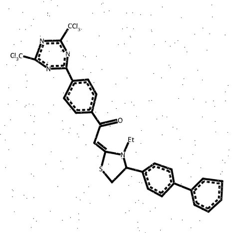 CCN1C(=CC(=O)c2ccc(-c3nc(C(Cl)(Cl)Cl)nc(C(Cl)(Cl)Cl)n3)cc2)SCC1c1ccc(-c2ccccc2)cc1